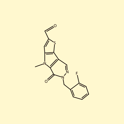 Cn1c2cc(C=O)sc2c2cnn(Cc3ccccc3F)c(=O)c21